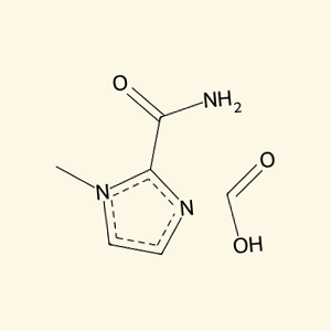 Cn1ccnc1C(N)=O.O=CO